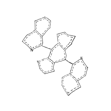 c1ccc2c(-c3c4ccccc4c(-c4nccc5ccccc45)c4ncccc34)nccc2c1